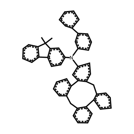 CC1(C)c2ccccc2-c2ccc(N(c3cccc(-c4ccccc4)c3)c3ccc4c(c3)-c3ccccc3Cc3ccccc3-c3ccccc3C4)cc21